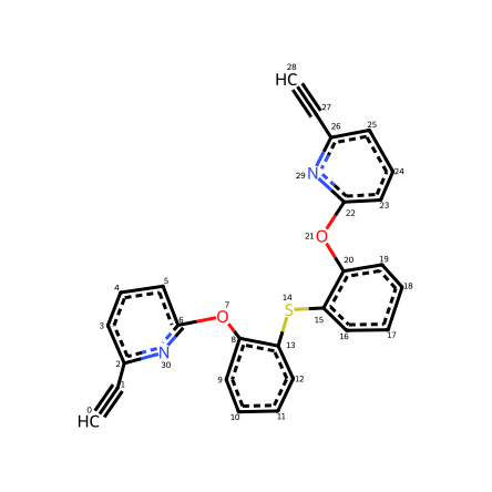 C#Cc1cccc(Oc2ccccc2Sc2ccccc2Oc2cccc(C#C)n2)n1